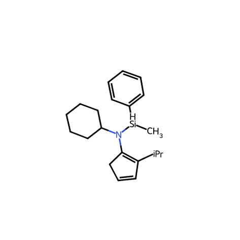 CC(C)C1=C(N(C2CCCCC2)[SiH](C)c2ccccc2)CC=C1